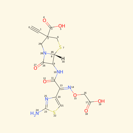 C#CC1(C(=O)O)CS[C@@H]2C(NC(=O)C(=NOCC(=O)O)c3csc(N)n3)C(=O)N2C1